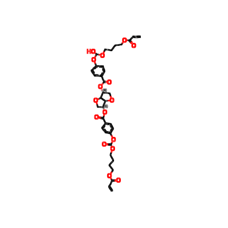 C=CC(=O)OCCCCOC(=O)Oc1ccc(C(=O)O[C@@H]2COC3C2OC[C@H]3OC(=O)c2ccc(OC(O)OCCCCOC(=O)C=C)cc2)cc1